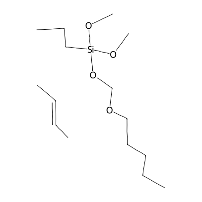 CC=CC.CCCCCOCO[Si](CCC)(OC)OC